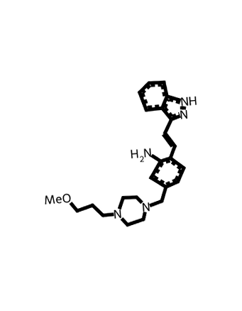 COCCCN1CCN(Cc2ccc(C=Cc3n[nH]c4ccccc34)c(N)c2)CC1